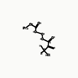 C=C(C(=O)OOOC(=O)OC(C)C)C(C)(C)CC